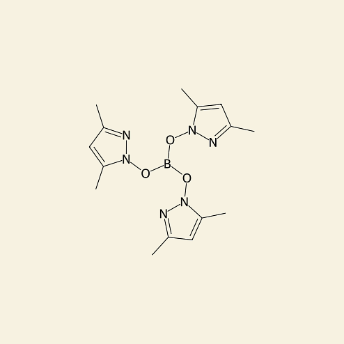 Cc1cc(C)n(OB(On2nc(C)cc2C)On2nc(C)cc2C)n1